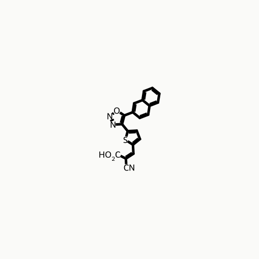 N#CC(=Cc1ccc(-c2nnoc2-c2ccc3ccccc3c2)s1)C(=O)O